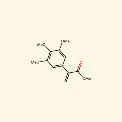 C=C(C(=O)OC)c1cc(OC)c(OC)c(OC)c1